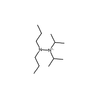 CCCN(CCC)[N+](C(C)C)C(C)C